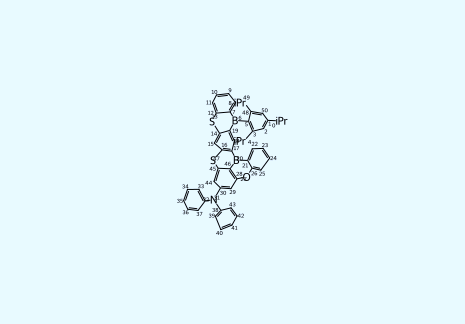 CC(C)c1cc(C(C)C)c(B2c3ccccc3Sc3cc4c(cc32)B2c3ccccc3Oc3cc(N(c5ccccc5)c5ccccc5)cc(c32)S4)c(C(C)C)c1